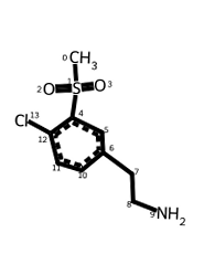 CS(=O)(=O)c1cc(CCN)ccc1Cl